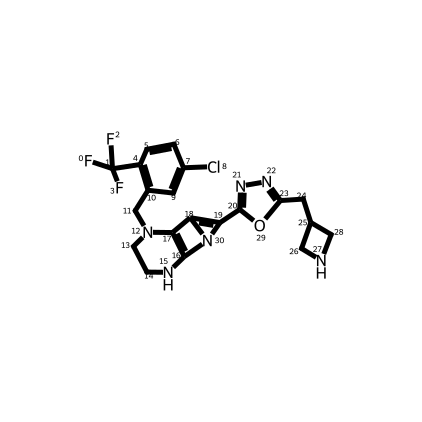 FC(F)(F)c1ccc(Cl)cc1CN1CCNc2c1c1c(-c3nnc(CC4CNC4)o3)n2-1